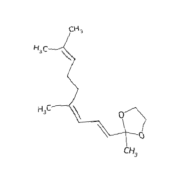 CC(C)=CCCC(C)=CC=CC1(C)OCCO1